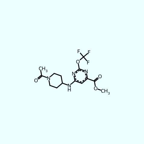 COC(=O)c1cc(NC2CCN(C(C)=O)CC2)nc(OC(F)(F)F)n1